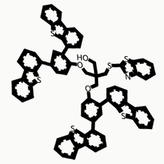 OCC(COc1ccc(-c2cccc3c2sc2ccccc23)cc1-c1cccc2c1sc1ccccc12)(COc1ccc(-c2cccc3c2sc2ccccc23)cc1-c1cccc2c1sc1ccccc12)CSc1nc2ccccc2s1